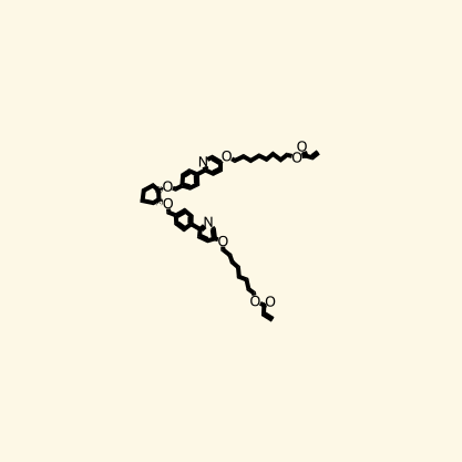 C=CC(=O)OCCCCCCCCOc1ccc(-c2ccc(CO[C@@H]3CCCC[C@H]3OCc3ccc(-c4ccc(OCCCCCCCCOC(=O)C=C)cn4)cc3)cc2)nc1